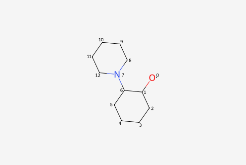 [O]C1CCCCC1N1CCCCC1